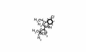 CCOc1cc(Cl)ccc1NC(N)C(=O)OC(C)(C)C